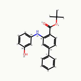 CC(C)(C)OC(=O)c1ccc(-c2ccccc2)cc1Nc1cccc(O)c1